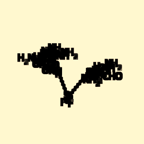 CCCN(CCC(=O)NCN(CCC=O)CCC(=O)NCCN)C/C(N)=C/N(N)CCCCCCCCCCCSC(SCCCCCCCCCCCn1cc(CN(CCC(=O)NCN(CCC(=O)NCCN)CCC(=O)NCCN)CCC(=O)NCN(CCC(=O)NCCN)CCC(=O)NCCN)nn1)c1cc(F)cc(F)c1